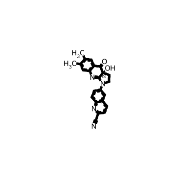 Cc1cc2c(cc1C)C(=O)[C@]1(O)CCN(c3ccc4nc(C#N)ccc4c3)C1=N2